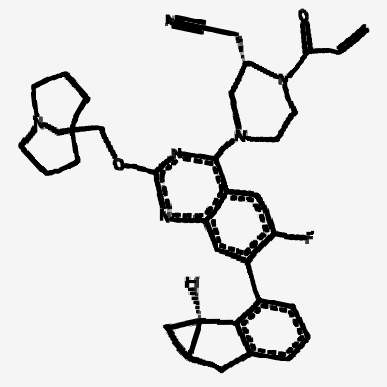 C=CC(=O)N1CCN(c2nc(OCC34CCCN3CCC4)nc3cc(-c4cccc5c4[C@@H]4CC4C5)c(F)cc23)C[C@@H]1CC#N